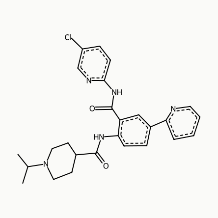 CC(C)N1CCC(C(=O)Nc2ccc(-c3ccccn3)cc2C(=O)Nc2ccc(Cl)cn2)CC1